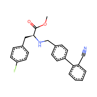 COC(=O)[C@H](Cc1ccc(F)cc1)NCc1ccc(-c2ccccc2C#N)cc1